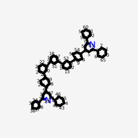 c1ccc(-c2cc(-c3ccc(-c4cccc(-c5cccc(-c6cccc(-c7ccc(-c8cc(-c9ccccc9)nc(-c9ccccc9)c8)cc7)c6)c5)c4)cc3)cc(-c3ccccc3)n2)cc1